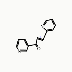 O=C(/C=C/c1ccccn1)c1cccnc1